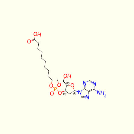 COP(=O)(OCCCCCCCCCC(=O)O)O[C@@H]1C[C@H](n2cnc3c(N)ncnc32)O[C@@H]1CO